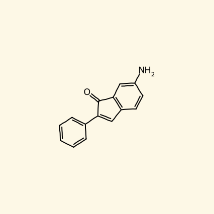 Nc1ccc2c(c1)C(=O)C(c1ccccc1)=C2